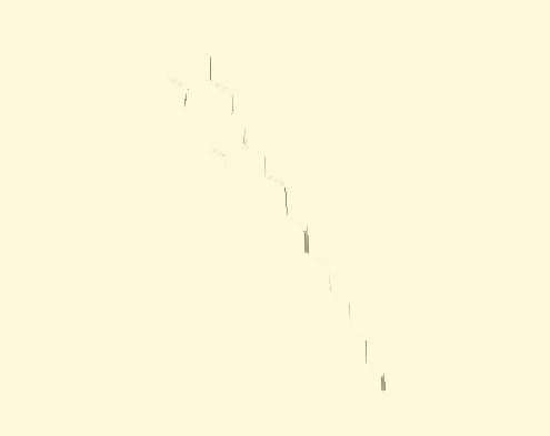 CCC(=CCC=C(CC=CCC=CCCCCCC[C]=O)[N+](=O)[O-])[N+](=O)[O-]